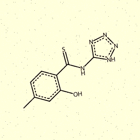 Cc1ccc(C(=S)Nc2nnn[nH]2)c(O)c1